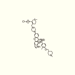 Cc1cc(S(=O)(=O)NC(=O)c2ccc(N3CCN(CC4=C(C56CC(Cl)(C5)C6)CC(C)(C)CC4)CC3)cc2Oc2cnc3[nH]ccc3c2)ccc1OCC1CCN(C)CC1